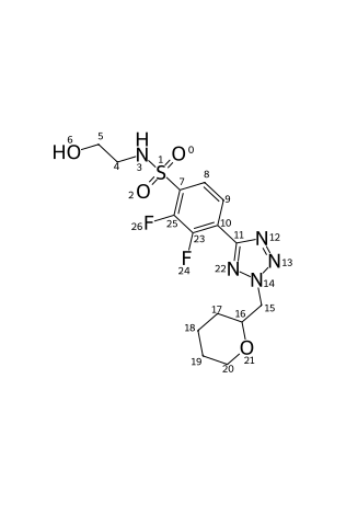 O=S(=O)(NCCO)c1ccc(-c2nnn(CC3CCCCO3)n2)c(F)c1F